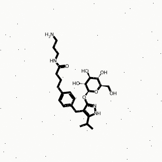 CC(C)c1[nH]nc(O[C@@H]2O[C@H](CO)[C@@H](O)[C@H](O)[C@H]2O)c1Cc1ccc(CCCC(=O)NCCCN)cc1